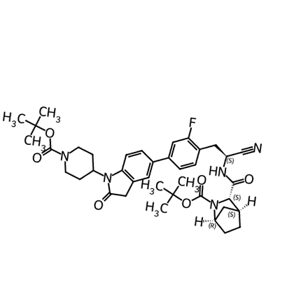 CC(C)(C)OC(=O)N1CCC(N2C(=O)Cc3cc(-c4ccc(C[C@@H](C#N)NC(=O)[C@@H]5[C@H]6CC[C@H](C6)N5C(=O)OC(C)(C)C)c(F)c4)ccc32)CC1